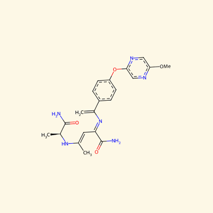 C=C(/N=C(\C=C(/C)N[C@@H](C)C(N)=O)C(N)=O)c1ccc(Oc2cnc(OC)cn2)cc1